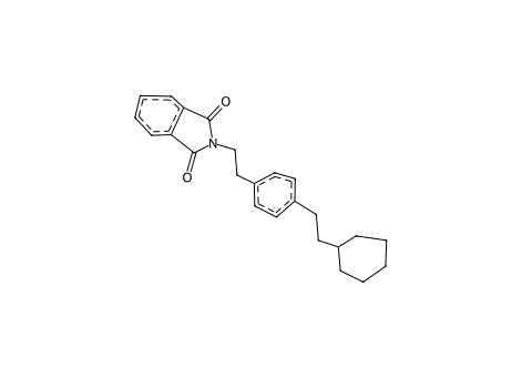 O=C1c2ccccc2C(=O)N1CCc1ccc(CCC2CCCCC2)cc1